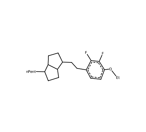 CCCCCC1CCC2C(CCc3ccc(OCC)c(F)c3F)CCC12